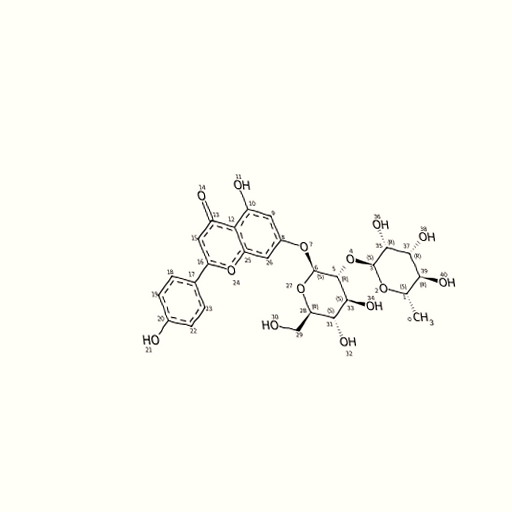 C[C@@H]1O[C@@H](O[C@H]2[C@H](Oc3cc(O)c4c(=O)cc(-c5ccc(O)cc5)oc4c3)O[C@H](CO)[C@@H](O)[C@@H]2O)[C@H](O)[C@H](O)[C@H]1O